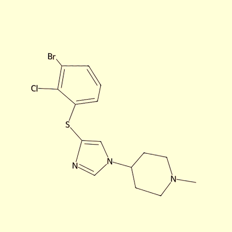 CN1CCC(n2cnc(Sc3cccc(Br)c3Cl)c2)CC1